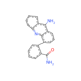 NC(=O)c1ccccc1-c1cccc2c(N)c3ccccc3nc12